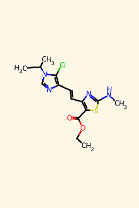 CCOC(=O)c1sc(NC)nc1/C=C/c1ncn(C(C)C)c1Cl